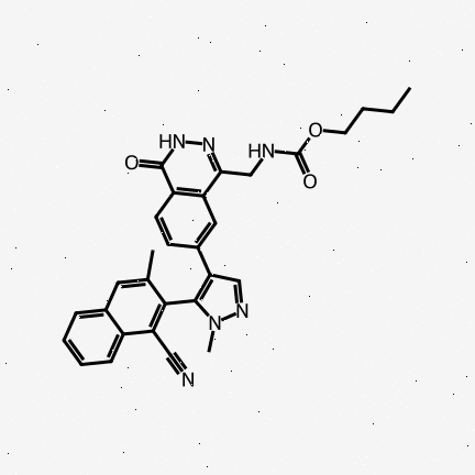 CCCCOC(=O)NCc1n[nH]c(=O)c2ccc(-c3cnn(C)c3-c3c(C)cc4ccccc4c3C#N)cc12